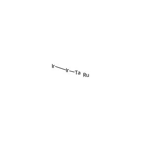 [Ru].[Ta][Ir][Ir]